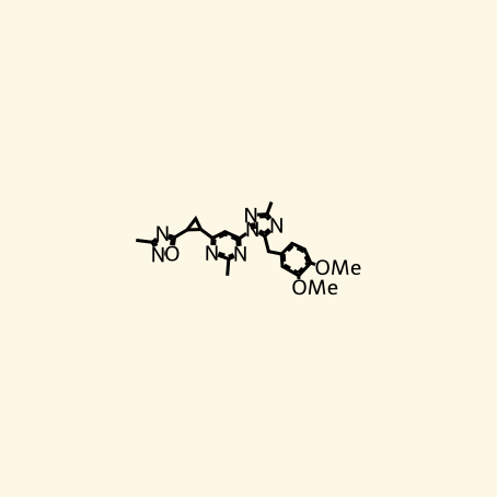 COc1ccc(Cc2nc(C)nn2-c2cc(C3CC3c3nc(C)no3)nc(C)n2)cc1OC